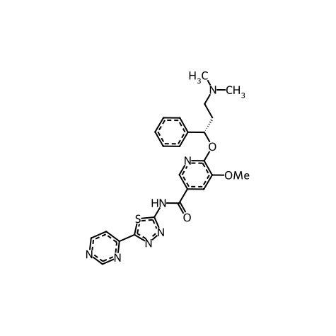 COc1cc(C(=O)Nc2nnc(-c3ccncn3)s2)cnc1O[C@@H](CCN(C)C)c1ccccc1